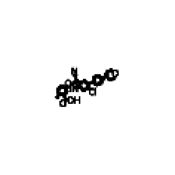 Cc1ccc(Oc2[nH]c3cc(Cl)c(-c4ccc(N5CCOCC5)cc4)cc3c2C#N)cc1C(=O)O